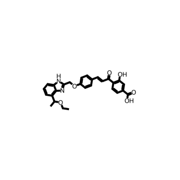 CCOC(C)c1cccc2[nH]c(COc3ccc(/C=C/C(=O)c4ccc(C(=O)O)cc4O)cc3)nc12